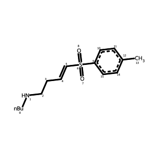 CCCCNCCC=CS(=O)(=O)c1ccc(C)cc1